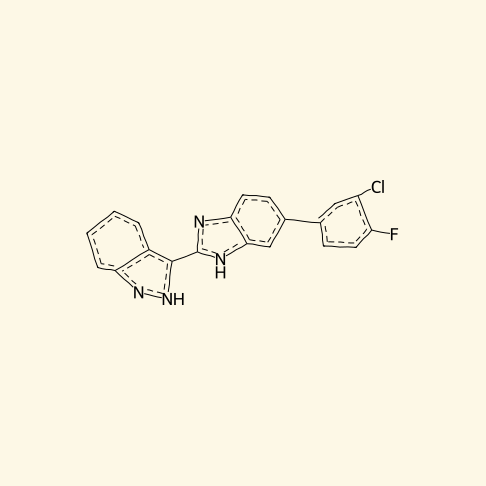 Fc1ccc(-c2ccc3nc(-c4[nH]nc5ccccc45)[nH]c3c2)cc1Cl